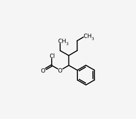 CCCC(CC)C(OC(=O)Cl)c1ccccc1